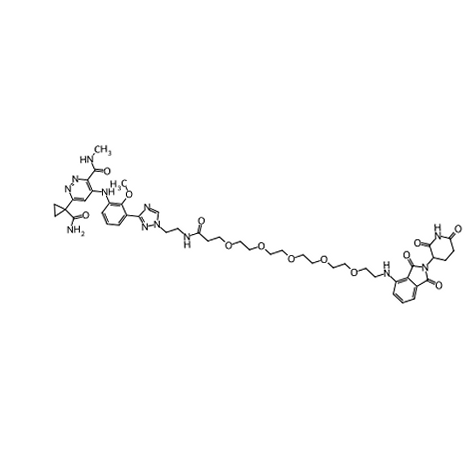 CNC(=O)c1nnc(C2(C(N)=O)CC2)cc1Nc1cccc(-c2ncn(CCNC(=O)CCOCCOCCOCCOCCOCCNc3cccc4c3C(=O)N(C3CCC(=O)NC3=O)C4=O)n2)c1OC